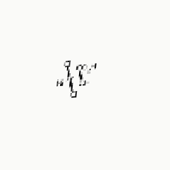 O=C(O)O.[Cl][Zn][Cl].[Ni]